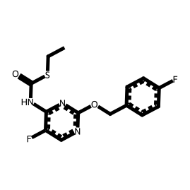 CCSC(=O)Nc1nc(OCc2ccc(F)cc2)ncc1F